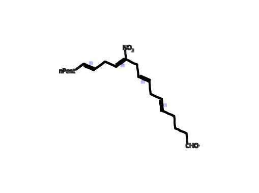 CCCCC/C=C/C/C=C(/C/C=C/C/C=C/CCC[C]=O)[N+](=O)[O-]